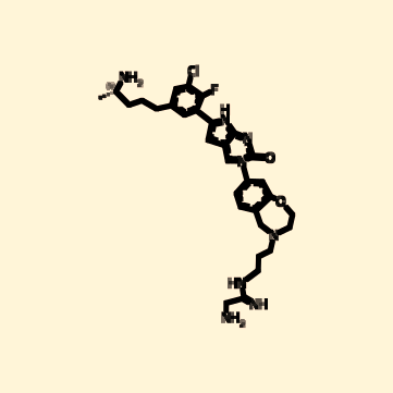 C[C@H](N)CCCc1cc(Cl)c(F)c(-c2cc3cn(-c4ccc5c(c4)OCCN(CCCNC(=N)CN)C5)c(=O)nc3[nH]2)c1